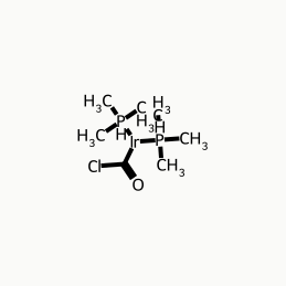 C[PH](C)(C)[Ir]([C](=O)Cl)[PH](C)(C)C